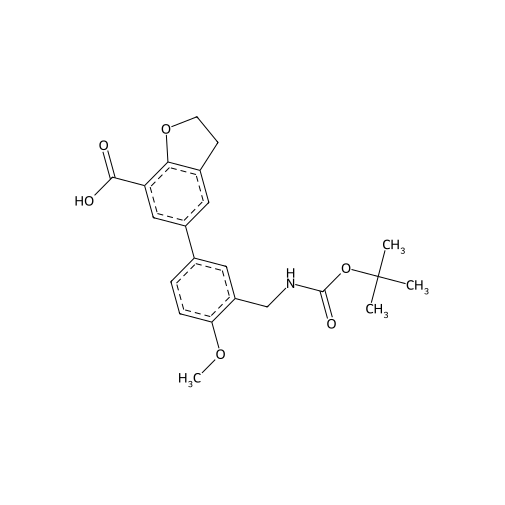 COc1ccc(-c2cc3c(c(C(=O)O)c2)OCC3)cc1CNC(=O)OC(C)(C)C